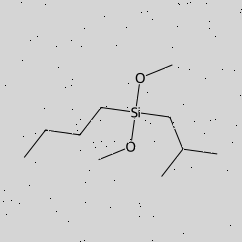 CCCC[Si](CC(C)C)(OC)OC